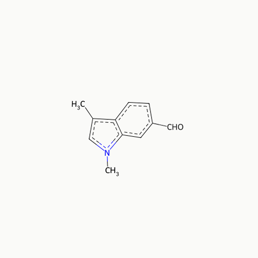 Cc1cn(C)c2cc(C=O)ccc12